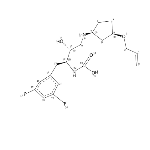 C=CCO[C@@H]1CC[C@H](NC[C@@H](O)[C@H](Cc2cc(F)cc(F)c2)NC(=O)O)C1